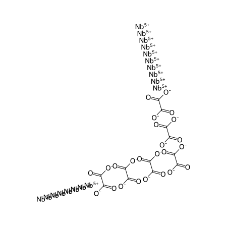 O=C([O-])C(=O)[O-].O=C([O-])C(=O)[O-].O=C([O-])C(=O)[O-].O=C([O-])C(=O)[O-].O=C([O-])C(=O)[O-].O=C([O-])C(=O)[O-].[Nb+5].[Nb+5].[Nb+5].[Nb+5].[Nb+5].[Nb+5].[Nb+5].[Nb+5].[Nb+5].[Nb+5].[Nb+5].[Nb+5].[Nb+5].[Nb+5].[Nb+5].[Nb+5].[Nb+5].[Nb+5]